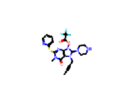 CC#CCN1c2c(nc(Sc3ccccn3)n(C)c2=O)N(OC(=O)C(F)(F)F)C1N1CCNCC1